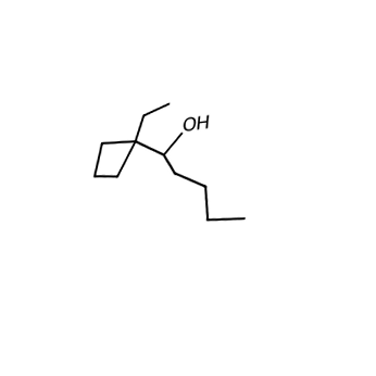 CCCCC(O)C1(CC)CCC1